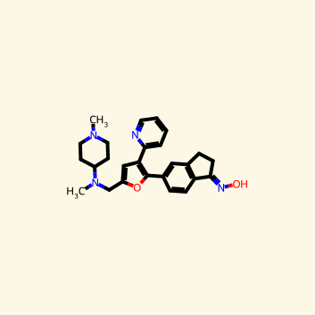 CN1CCC(N(C)Cc2cc(-c3ccccn3)c(-c3ccc4c(c3)CCC4=NO)o2)CC1